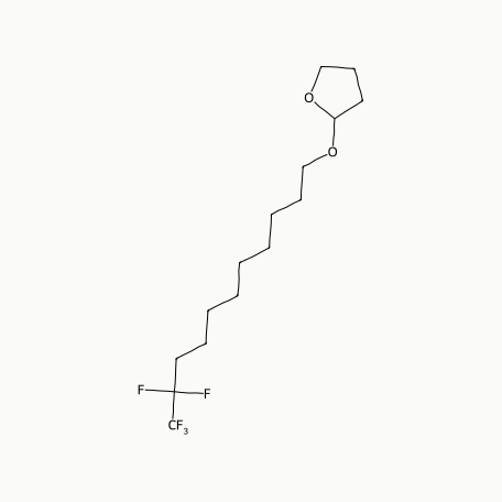 FC(F)(F)C(F)(F)CCCCCCCCCOC1CCCO1